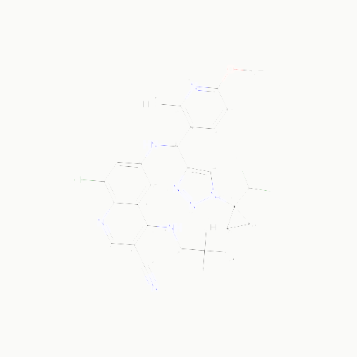 COc1ccc(C(Nc2cc(Cl)c3ncc(C#N)c(NCC(C)(C)C)c3c2)c2cn(C3(C(F)F)CC3)nn2)c(C)n1